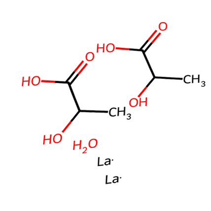 CC(O)C(=O)O.CC(O)C(=O)O.O.[La].[La]